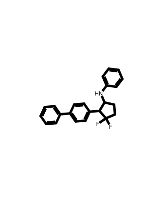 FC1(F)CCC(Nc2ccccc2)C1c1ccc(-c2ccccc2)cc1